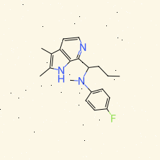 CCCC(c1nccc2c(C)c(C)[nH]c12)N(C)c1ccc(F)cc1